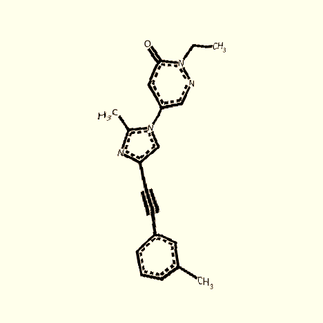 CCn1ncc(-n2cc(C#Cc3cccc(C)c3)nc2C)cc1=O